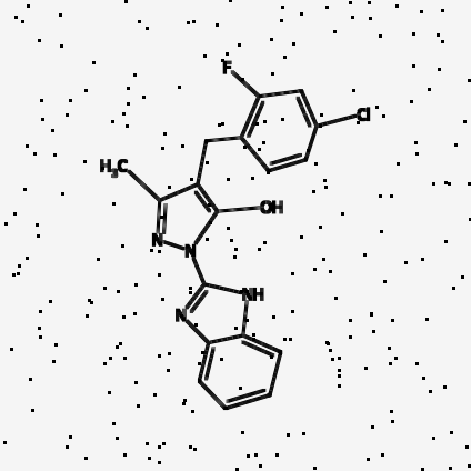 Cc1nn(-c2nc3ccccc3[nH]2)c(O)c1Cc1ccc(Cl)cc1F